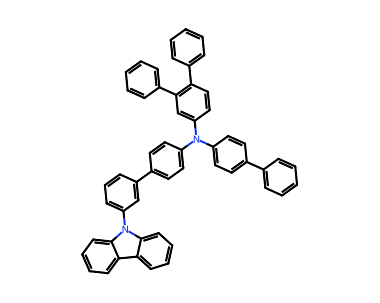 c1ccc(-c2ccc(N(c3ccc(-c4cccc(-n5c6ccccc6c6ccccc65)c4)cc3)c3ccc(-c4ccccc4)c(-c4ccccc4)c3)cc2)cc1